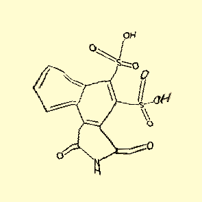 O=C1NC(=O)c2c1c(S(=O)(=O)O)c(S(=O)(=O)O)c1ccccc21